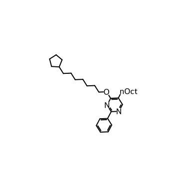 CCCCCCCCc1cnc(-c2ccccc2)nc1OCCCCCCCC1CCCC1